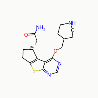 NC(=O)C[C@H]1CCc2sc3ncnc(OCC4CCNCC4)c3c21